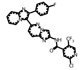 O=C(Nc1cn2nc(-c3c(-c4ccc(F)cc4)nc4ccccn34)ccc2n1)c1cc(Cl)ncc1C(F)(F)F